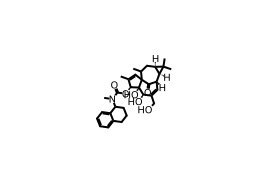 CC1=CC23C(=O)[C@@H](C=C(CO)[C@@H](O)[C@]2(O)[C@H]1OC(=O)N(C)C1CCCc2ccccc21)[C@H]1[C@@H](CC3C)C1(C)C